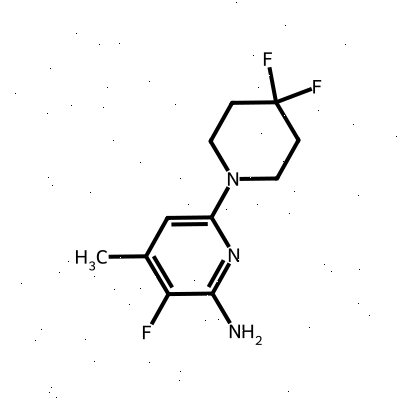 Cc1cc(N2CCC(F)(F)CC2)nc(N)c1F